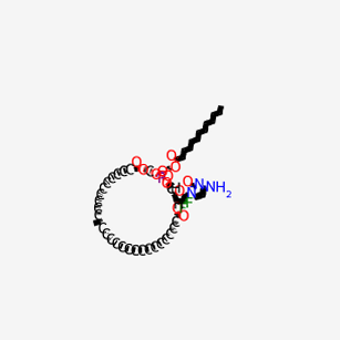 CCCCCCCCCCCCC(=O)OCOP1(=O)OCOC(=O)CCCCCCCCCCC(C)CCCCCCCCCCCCCCCC(=O)O[C@@H]2[C@@H](CO1)O[C@@H](n1ccc(N)nc1=O)C2(F)F